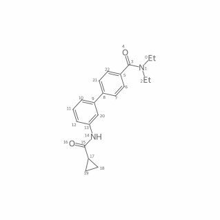 CCN(CC)C(=O)c1ccc(-c2cccc(NC(=O)C3CC3)c2)cc1